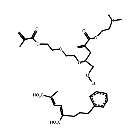 C=C(C)C(=O)OCCOCCOC(COCC)CC(=C)C(=O)OCCN(C)C.CC(=CC=C(CCCc1ccccc1)C(=O)O)C(=O)O